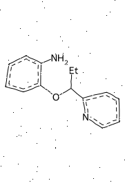 CCC(Oc1ccccc1N)c1ccccn1